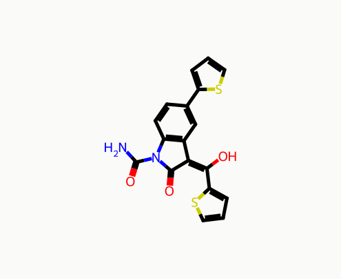 NC(=O)N1C(=O)/C(=C(/O)c2cccs2)c2cc(-c3cccs3)ccc21